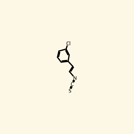 S=C=NC=Cc1cccc(Cl)c1